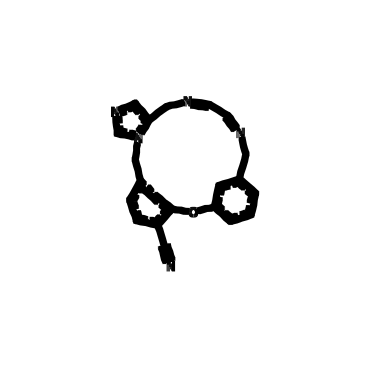 N#Cc1ccc2cc1Oc1cccc(c1)C/N=C\C=N/Cc1cncn1C2